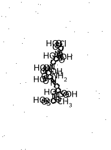 COc1ccc(SOOO)cc1N=Nc1c(SOOO)cc2ccc(N=Nc3cc(S(=O)(=O)O)c4cc(S(=O)(=O)O)c(N=Nc5ccc6c(O)c(N=Nc7ccc(Cl)c(S(=O)(=O)O)c7)c(S(=O)(=O)O)cc6c5)c(O)c4c3N)cc2c1O